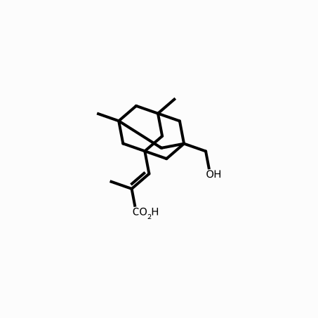 CC(=CC12CC3(C)CC(C)(C1)CC(CO)(C3)C2)C(=O)O